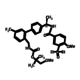 CCP(=O)(CC)c1cc(C(=O)N[C@H](C)c2ccc(-c3cc(C(F)(F)F)ccc3CNC(=O)OC(C)(C)COC)cc2)ccc1OC